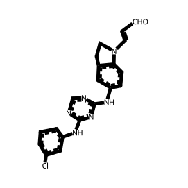 O=CC=CN1CCc2cc(Nc3ncnc(Nc4cccc(Cl)c4)n3)ccc21